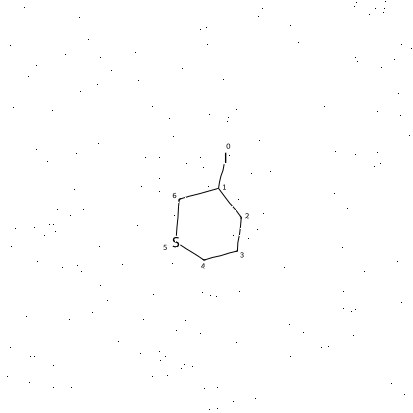 IC1CCCSC1